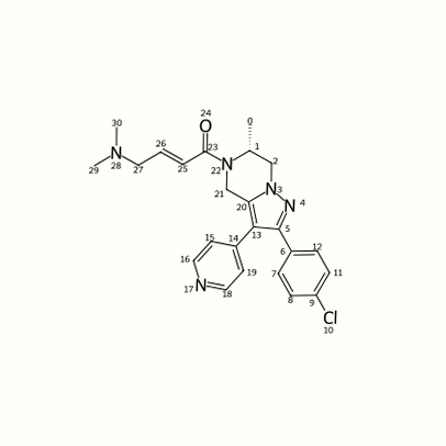 C[C@@H]1Cn2nc(-c3ccc(Cl)cc3)c(-c3ccncc3)c2CN1C(=O)/C=C/CN(C)C